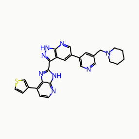 c1cc(-c2ccsc2)c2nc(-c3n[nH]c4ncc(-c5cncc(CN6CCCCC6)c5)cc34)[nH]c2n1